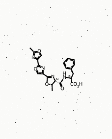 Cc1nc(-c2nc(C3=N[C@H](C(=O)N[C@@H](Cc4ccccc4)C(=O)O)C(C)O3)co2)co1